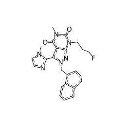 Cn1ccnc1-c1c2c(=O)n(C)c(=O)n(CCCF)c2nn1Cc1cccc2ccccc12